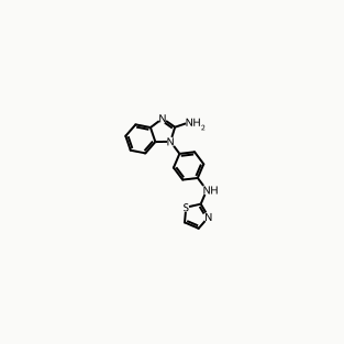 Nc1nc2ccccc2n1-c1ccc(Nc2nccs2)cc1